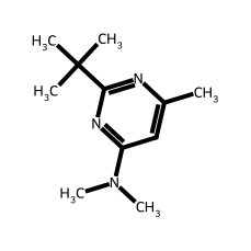 Cc1cc(N(C)C)nc(C(C)(C)C)n1